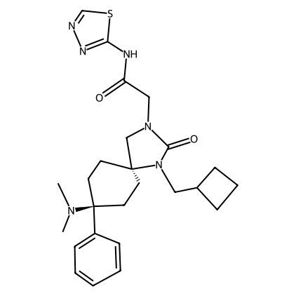 CN(C)[C@]1(c2ccccc2)CC[C@]2(CC1)CN(CC(=O)Nc1nncs1)C(=O)N2CC1CCC1